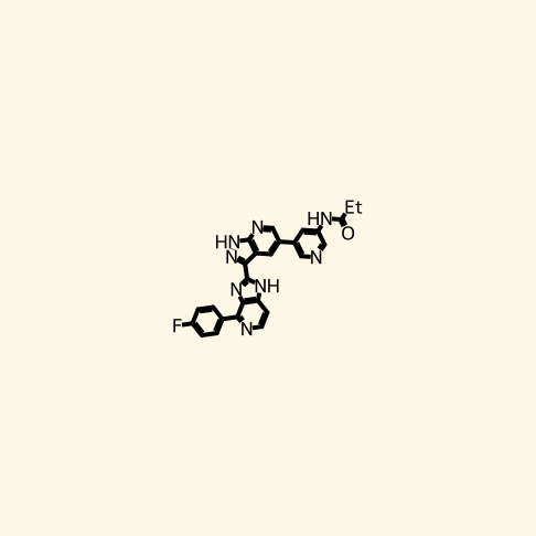 CCC(=O)Nc1cncc(-c2cnc3[nH]nc(-c4nc5c(-c6ccc(F)cc6)nccc5[nH]4)c3c2)c1